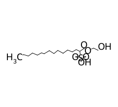 CCCCCCCCCCCCCCC(C(=O)OCCO)S(=O)(=O)O